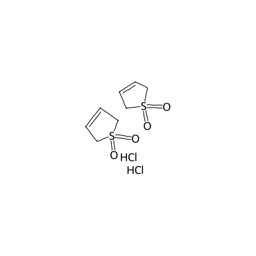 Cl.Cl.O=S1(=O)CC=CC1.O=S1(=O)CC=CC1